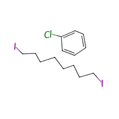 Clc1ccccc1.ICCCCCCCCI